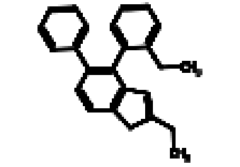 CCC1=Cc2c(ccc(-c3ccccc3)c2-c2ccccc2CC)[CH]1